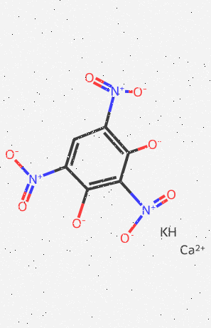 O=[N+]([O-])c1cc([N+](=O)[O-])c([O-])c([N+](=O)[O-])c1[O-].[Ca+2].[KH]